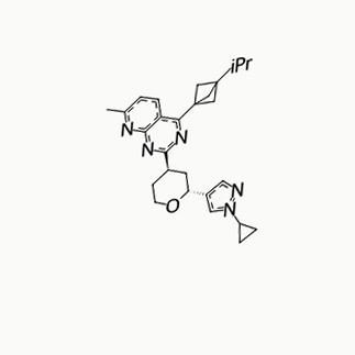 Cc1ccc2c(C34CC(C(C)C)(C3)C4)nc([C@@H]3CCO[C@@H](c4cnn(C5CC5)c4)C3)nc2n1